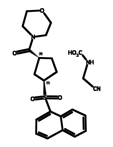 N#CCNC(=O)O.O=C([C@@H]1CC[C@@H](S(=O)(=O)c2cccc3ccccc23)C1)N1CCOCC1